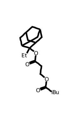 CCC(C)C(=O)OCCC(=O)OC1(CC)C2CC3CC(C2)CC1C3